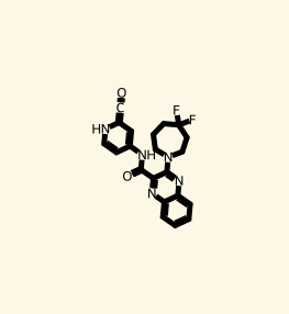 O=C=C1C=C(NC(=O)c2nc3ccccc3nc2N2CCCC(F)(F)CC2)C=CN1